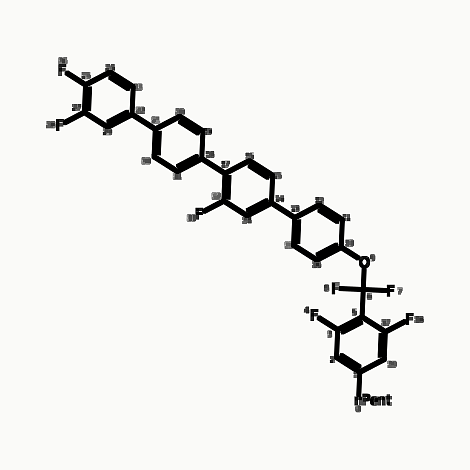 CCCCCc1cc(F)c(C(F)(F)Oc2ccc(-c3ccc(-c4ccc(-c5ccc(F)c(F)c5)cc4)c(F)c3)cc2)c(F)c1